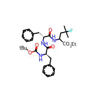 CCOC(=O)C(CC(C)(C)F)NC(=O)[C@@H](Cc1ccccc1)NC(=O)[C@@H](Cc1ccccc1)NC(=O)OC(C)(C)C